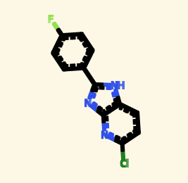 Fc1ccc(-c2nc3nc(Cl)ccc3[nH]2)cc1